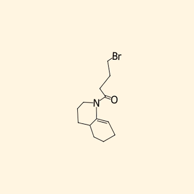 O=C(CCCBr)N1CCCC2CCCC=C21